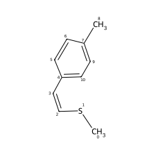 CS/C=C\c1ccc(C)cc1